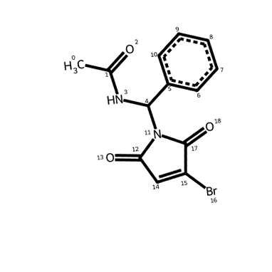 CC(=O)NC(c1ccccc1)N1C(=O)C=C(Br)C1=O